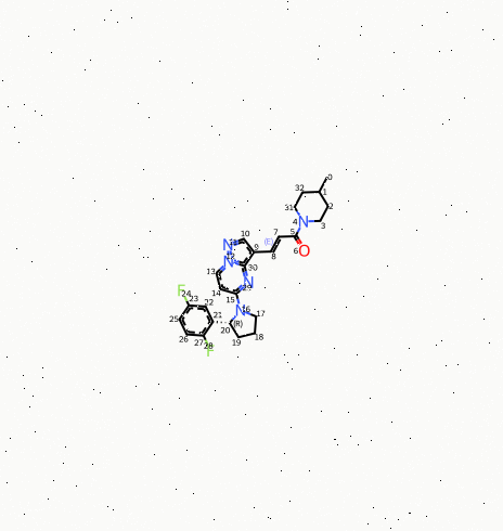 CC1CCN(C(=O)/C=C/c2cnn3ccc(N4CCC[C@@H]4c4cc(F)ccc4F)nc23)CC1